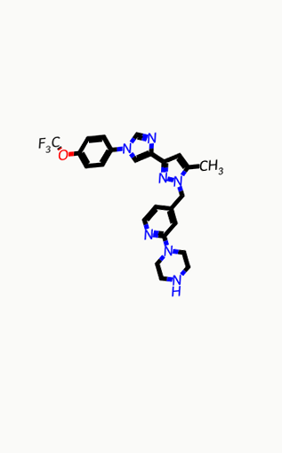 Cc1cc(-c2cn(-c3ccc(OC(F)(F)F)cc3)cn2)nn1Cc1ccnc(N2CCNCC2)c1